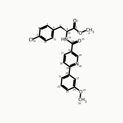 COC(=O)[C@H](Cc1ccc(Cl)cc1)NC(=O)c1ccc(-c2cccc(OC)c2)nc1